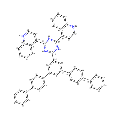 c1ccc(-c2ccc(-c3cc(-c4ccc(-c5ccccc5)cc4)cc(-c4nc(-c5ccnc6ccccc56)nc(-c5ccnc6ccccc56)n4)c3)cc2)cc1